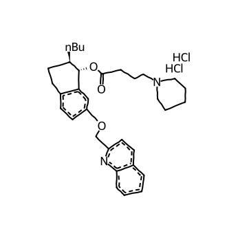 CCCC[C@@H]1CCc2ccc(OCc3ccc4ccccc4n3)cc2[C@H]1OC(=O)CCCN1CCCCC1.Cl.Cl